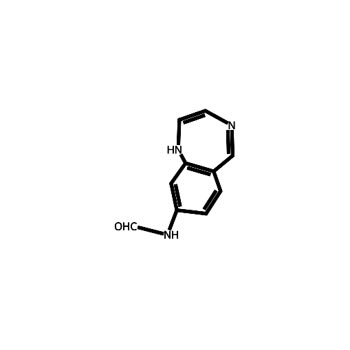 O=CNc1ccc2c(c1)NC=CN=C2